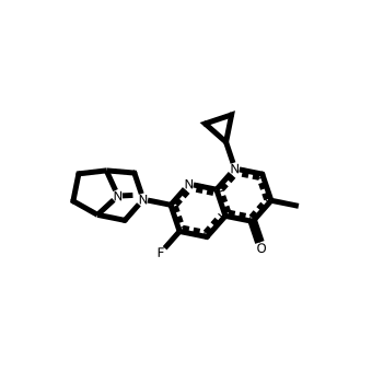 Cc1cn(C2CC2)c2nc(N3CC4CCC(C3)N4C)c(F)cc2c1=O